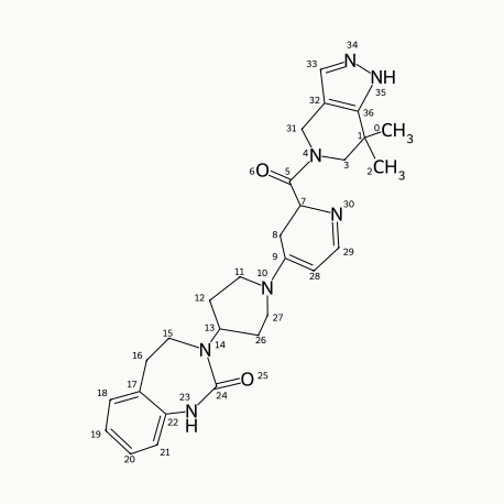 CC1(C)CN(C(=O)C2CC(N3CCC(N4CCc5ccccc5NC4=O)CC3)=CC=N2)Cc2cn[nH]c21